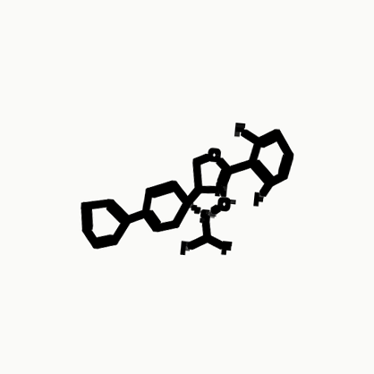 [O-][S+](C(F)F)[C@@]1(C2COC(c3c(F)cccc3F)=N2)C=CC(c2ccccc2)=CC1